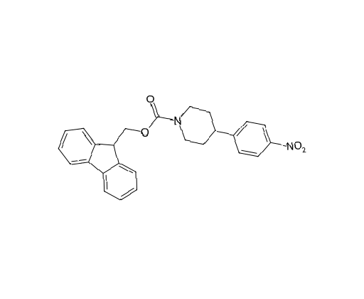 O=C(OCC1c2ccccc2-c2ccccc21)N1CCC(c2ccc([N+](=O)[O-])cc2)CC1